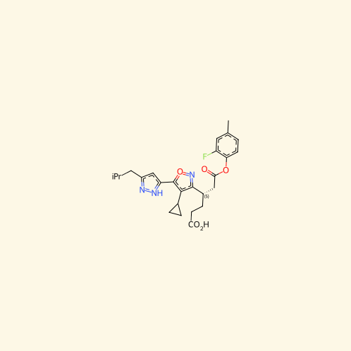 Cc1ccc(OC(=O)C[C@H](CCC(=O)O)c2noc(-c3cc(CC(C)C)n[nH]3)c2C2CC2)c(F)c1